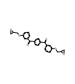 O=C(c1ccc(C(=O)c2cccc(OCC3CO3)c2)cc1)c1cccc(OCC2CO2)c1